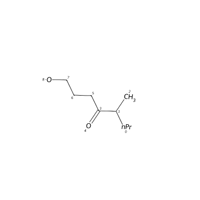 CCCC(C)C(=O)CCC[O]